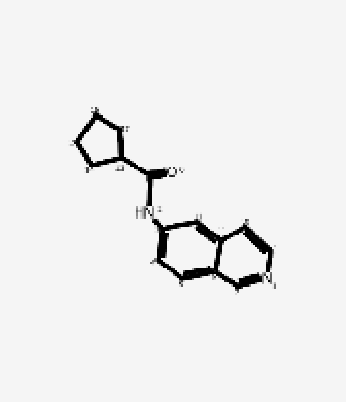 O=C(Nc1ccc2cnccc2c1)C1CCCC1